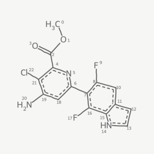 COC(=O)c1nc(-c2c(F)cc3cc[nH]c3c2F)cc(N)c1Cl